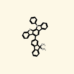 CC1(C)c2ccccc2-c2ccc(-c3cc4c5ccccc5n(-c5ccccc5)c4c4sc5ccccc5c34)cc21